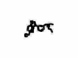 CCCN(CC)Cc1cccc(-c2cnc3ccc(C=O)nn23)c1